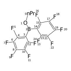 CCCOB(c1c(F)c(F)c(F)c(F)c1F)c1c(F)c(F)c(F)c(F)c1F